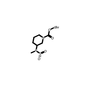 CN(C1CCCN(C(=O)OC(C)(C)C)C1)[SH](=O)=O